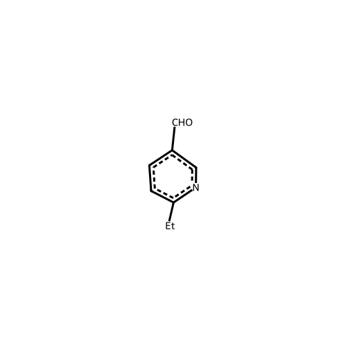 CCc1ccc(C=O)cn1